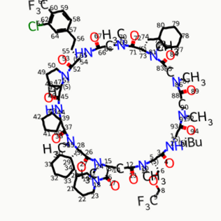 CC[C@H](C)[C@@H]1NC(=O)[C@H](COCC(F)(F)F)N(C)C(=O)C[C@@H](C(=O)N2CCCCC2)N(C)C(=O)[C@H](C2CCCCC2)N(C)C(=O)C2(CCCC2)NC(=O)[C@@H]2CCCN2C(=O)[C@H](CCc2ccc(C(F)(F)F)c(Cl)c2)NC(=O)CN(C)C(=O)[C@H](CC2CCCCC2)N(C)C(=O)CN(C)C(=O)CN(C)C1=O